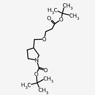 CC(C)(C)OC(=O)CCOCC1CCN(C(=O)OC(C)(C)C)C1